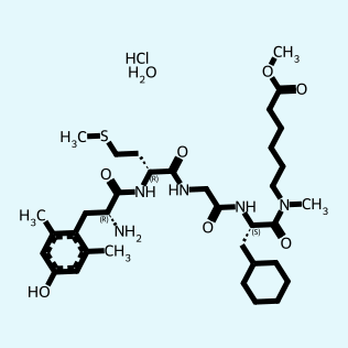 COC(=O)CCCCCN(C)C(=O)[C@H](CC1CCCCC1)NC(=O)CNC(=O)[C@@H](CCSC)NC(=O)[C@H](N)Cc1c(C)cc(O)cc1C.Cl.O